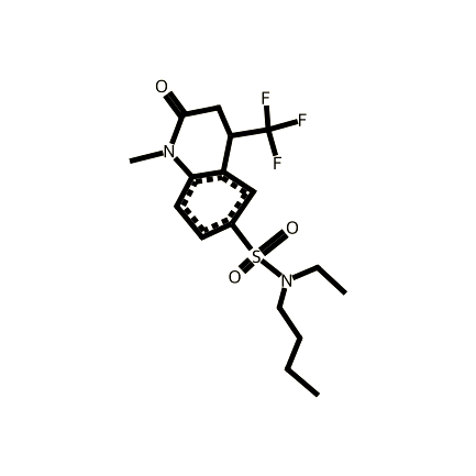 CCCCN(CC)S(=O)(=O)c1ccc2c(c1)C(C(F)(F)F)CC(=O)N2C